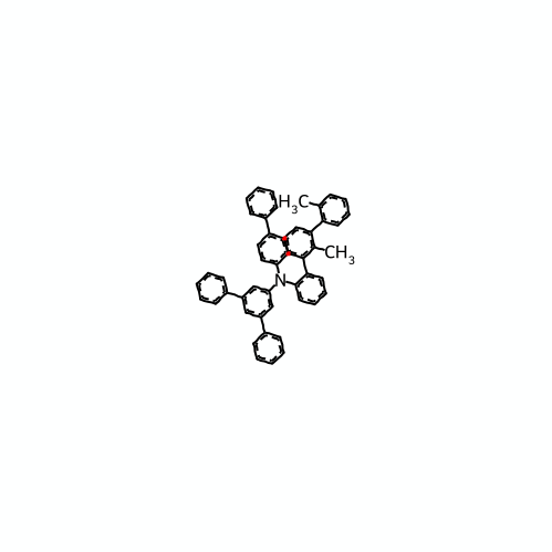 Cc1ccccc1-c1cccc(-c2ccccc2N(c2ccc(-c3ccccc3)cc2)c2cc(-c3ccccc3)cc(-c3ccccc3)c2)c1C